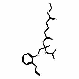 C=CCc1ccccc1OCC(C)(NC(C)C)OC(=O)CCCC(=O)OCC